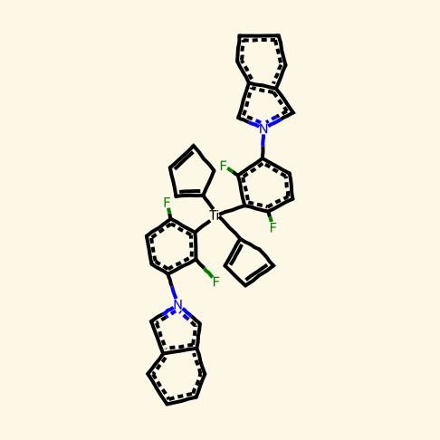 Fc1ccc(-n2cc3ccccc3c2)c(F)[c]1[Ti]([C]1=CC=CC1)([C]1=CC=CC1)[c]1c(F)ccc(-n2cc3ccccc3c2)c1F